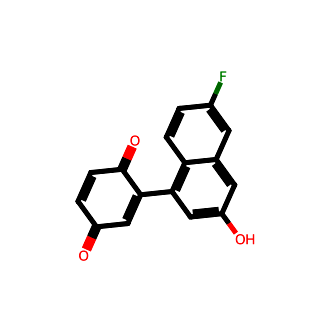 O=C1C=CC(=O)C(c2cc(O)cc3cc(F)ccc23)=C1